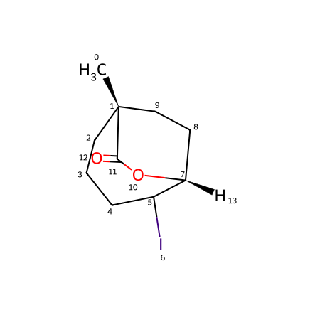 C[C@@]12CCCC(I)[C@@H](CC1)OC2=O